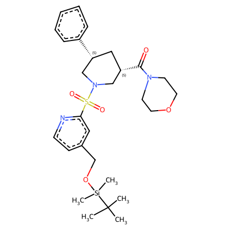 CC(C)(C)[Si](C)(C)OCc1ccnc(S(=O)(=O)N2C[C@@H](C(=O)N3CCOCC3)C[C@@H](c3ccccc3)C2)c1